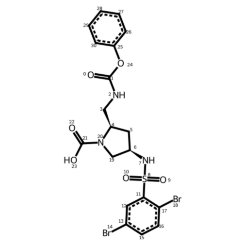 O=C(NC[C@H]1C[C@@H](NS(=O)(=O)c2cc(Br)ccc2Br)CN1C(=O)O)Oc1ccccc1